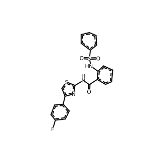 O=C(Nc1nc(-c2ccc(F)cc2)cs1)c1ccccc1NS(=O)(=O)c1ccccc1